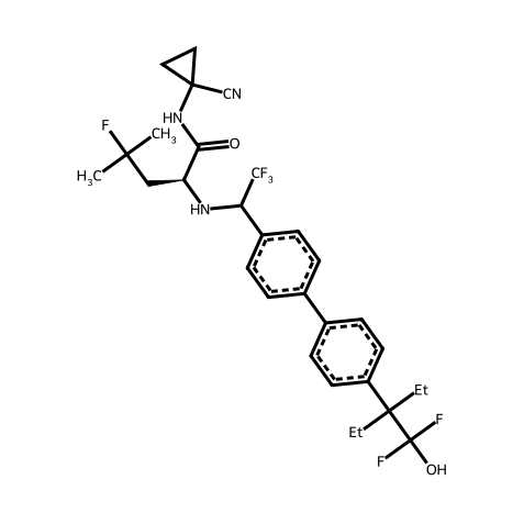 CCC(CC)(c1ccc(-c2ccc(C(N[C@@H](CC(C)(C)F)C(=O)NC3(C#N)CC3)C(F)(F)F)cc2)cc1)C(O)(F)F